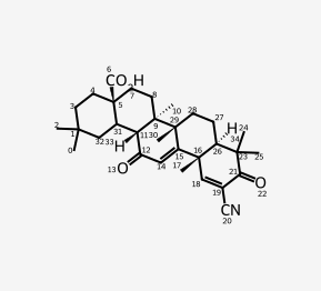 CC1(C)CC[C@]2(C(=O)O)CC[C@]3(C)[C@H](C(=O)C=C4[C@@]5(C)C=C(C#N)C(=O)C(C)(C)[C@@H]5CC[C@]43C)C2C1